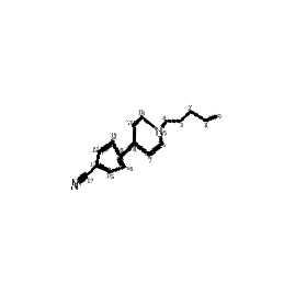 CCCCCN1CCC(c2ccc(C#N)cc2)CC1